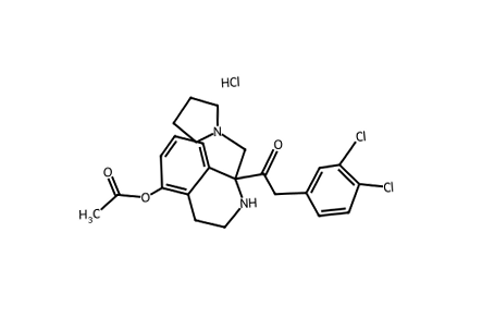 CC(=O)Oc1cccc2c1CCNC2(CN1CCCC1)C(=O)Cc1ccc(Cl)c(Cl)c1.Cl